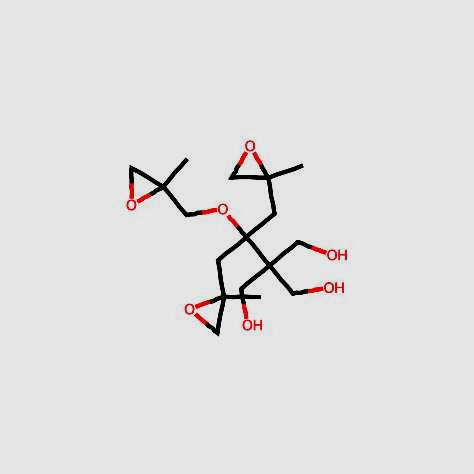 CC1(COC(CC2(C)CO2)(CC2(C)CO2)C(CO)(CO)CO)CO1